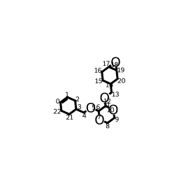 C1=CCC(COC2OCCOC2OCC2CCC3OC3C2)CC1